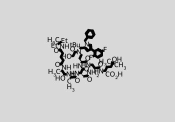 CCC(C)(CC)NC(=O)CCCC(=O)N[C@@H](C)C(O)N[C@H](C)C(=O)N[C@@H](CC(N)=O)C(=O)N[C@@H](CCN(C(=O)CO)[C@@H](c1cc(-c2cc(F)ccc2F)cn1Cc1ccccc1)C(C)(C)C)C(=O)NCCC(=O)N[C@H](CCC(C)(C)O)C(=O)O